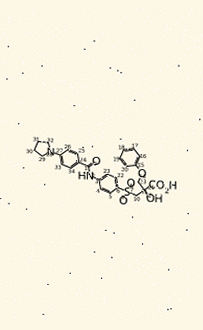 O=C(Nc1ccc(S(=O)(=O)CC(O)(COc2ccccc2)C(=O)O)cc1)c1ccc(N2CCCC2)cc1